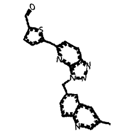 Cc1cnc2ccc(Cn3nnc4ccc(-c5ccc(C=O)s5)nc43)cc2c1